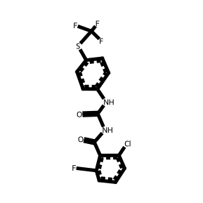 O=C(NC(=O)c1c(F)cccc1Cl)Nc1ccc(SC(F)(F)F)cc1